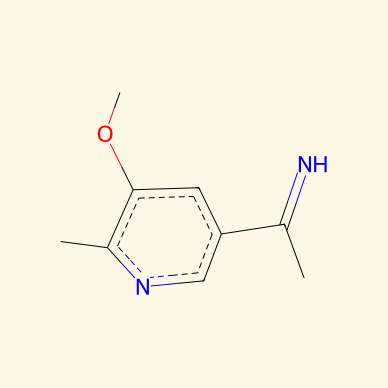 COc1cc(C(C)=N)cnc1C